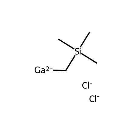 C[Si](C)(C)[CH2][Ga+2].[Cl-].[Cl-]